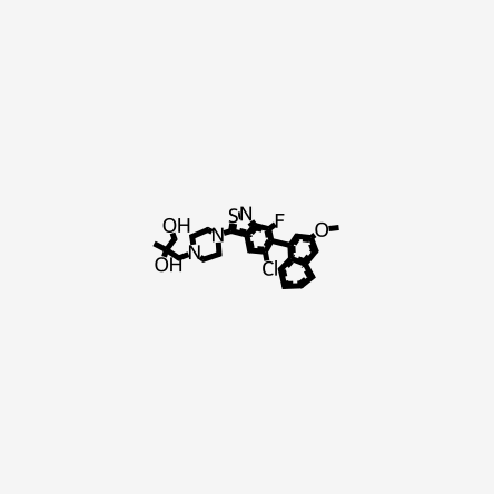 COc1cc(-c2c(Cl)cc3c(N4CCN(CC(C)(O)CO)CC4)snc3c2F)c2ccccc2c1